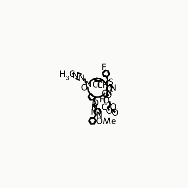 COc1ccccc1-c1nccc(COc2ccc3cc2C[C@H](C(=O)OCc2oc(=O)oc2C)Oc2ncnc4sc(-c5ccc(F)cc5)c(c24)-c2ccc(c(Cl)c2C)CN(CCN2CCN(C)CC2)C(=O)C3)n1